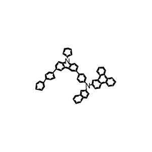 c1ccc(-c2ccc(-c3ccc4c(c3)c3cc(-c5ccc(N(c6ccc7ccccc7c6)c6ccc7c8ccccc8c8ccccc8c7c6)cc5)ccc3n4-c3ccccc3)cc2)cc1